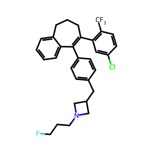 FCCCN1CC(Cc2ccc(C3=C(c4cc(Cl)ccc4C(F)(F)F)CCCc4ccccc43)cc2)C1